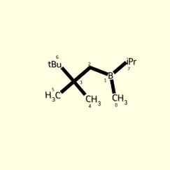 CB(CC(C)(C)C(C)(C)C)C(C)C